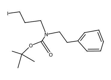 CC(C)(C)OC(=O)N(CCCI)CCc1ccccc1